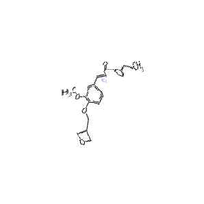 CCOC(=O)/C=C/c1ccc(OCC2COC2)c(OC)c1